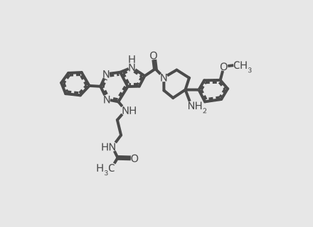 COc1cccc(C2(N)CCN(C(=O)c3cc4c(NCCNC(C)=O)nc(-c5ccccc5)nc4[nH]3)CC2)c1